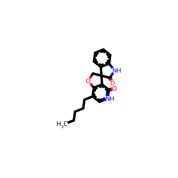 CCCCCc1c[nH]c(=O)c2c1OCC21C(=O)Nc2ccccc21